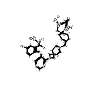 CCN(C(=O)c1cc(F)ccc1Oc1cncnc1N1CC2(CCN(CC3CCC4(CC3)CN(C(C)C)C(=O)N4)CC2)C1)C(C)C